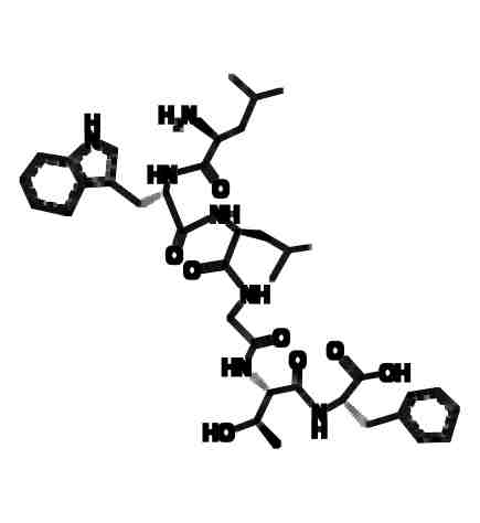 CC(C)C[C@H](NC(=O)[C@H](Cc1c[nH]c2ccccc12)NC(=O)[C@@H](N)CC(C)C)C(=O)NCC(=O)N[C@H](C(=O)N[C@@H](Cc1ccccc1)C(=O)O)[C@@H](C)O